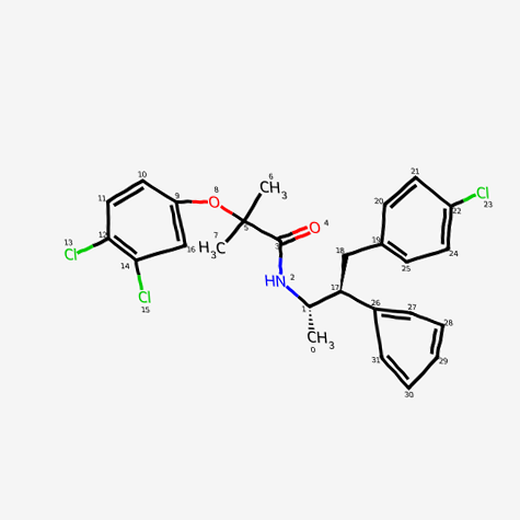 C[C@H](NC(=O)C(C)(C)Oc1ccc(Cl)c(Cl)c1)[C@@H](Cc1ccc(Cl)cc1)c1ccccc1